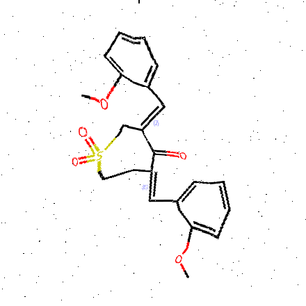 COc1ccccc1/C=C1\CS(=O)(=O)C/C(=C/c2ccccc2OC)C1=O